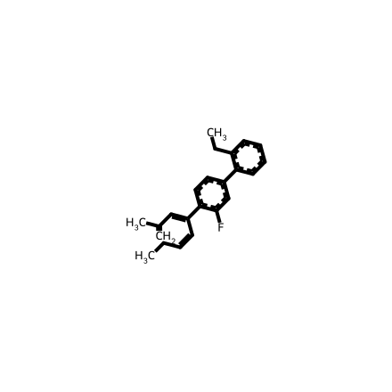 C=C(C)/C=C(\C=C/CC)c1ccc(-c2ccccc2CC)cc1F